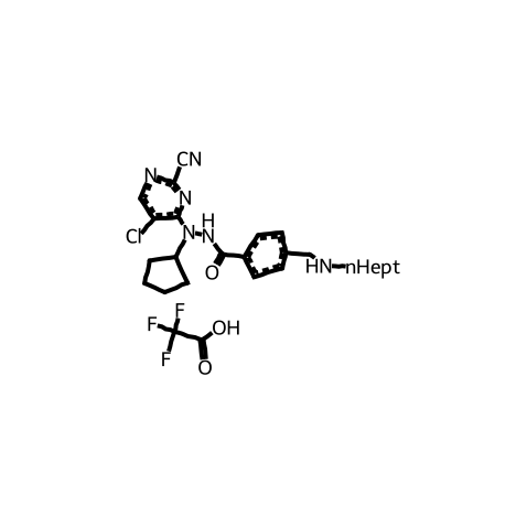 CCCCCCCNCc1ccc(C(=O)NN(c2nc(C#N)ncc2Cl)C2CCCC2)cc1.O=C(O)C(F)(F)F